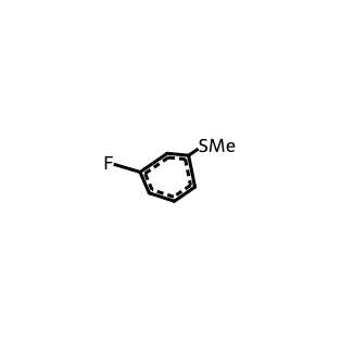 [CH2]Sc1cccc(F)c1